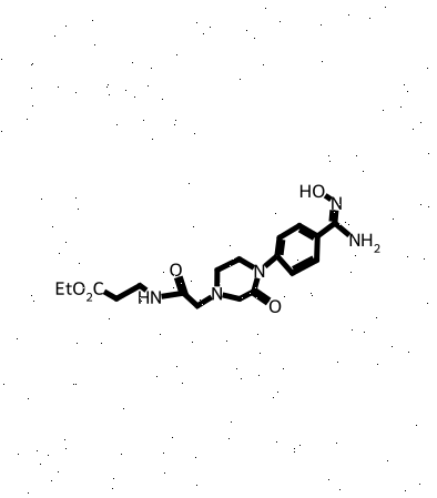 CCOC(=O)CCNC(=O)CN1CCN(c2ccc(/C(N)=N\O)cc2)C(=O)C1